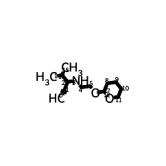 C#CC(NCCOC1CCCCO1)C(C)C